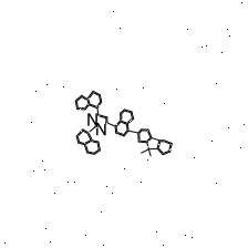 CC1(C)c2ccccc2-c2ccc(-c3ccc(-c4cc(-c5cccc6ccccc56)nc(-c5cccc6ccccc56)n4)c4ccccc34)cc21